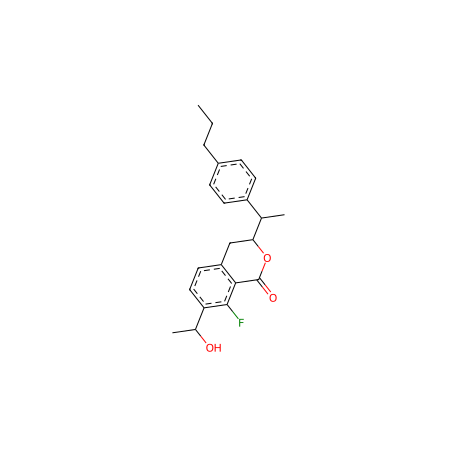 CCCc1ccc(C(C)C2Cc3ccc(C(C)O)c(F)c3C(=O)O2)cc1